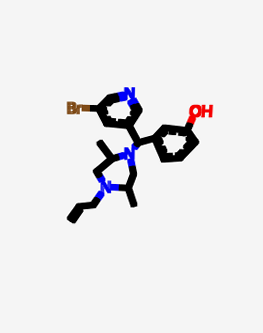 C=CCN1CC(C)N(C(c2cccc(O)c2)c2cncc(Br)c2)CC1C